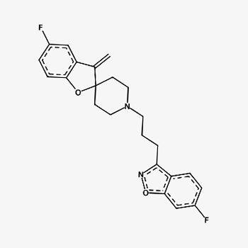 C=C1c2cc(F)ccc2OC12CCN(CCCc1noc3cc(F)ccc13)CC2